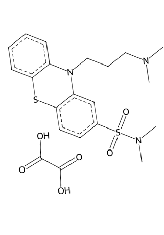 CN(C)CCCN1c2ccccc2Sc2ccc(S(=O)(=O)N(C)C)cc21.O=C(O)C(=O)O